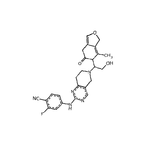 CC1=C2COC=C2CC(=O)C1C(CO)N1CCc2nc(Nc3ccc(C#N)c(F)c3)ncc2C1